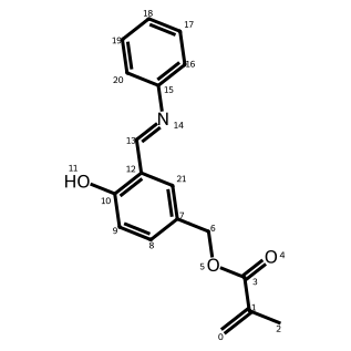 C=C(C)C(=O)OCc1ccc(O)c(C=Nc2ccccc2)c1